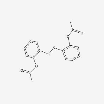 CC(=O)Oc1ccccc1SSc1ccccc1OC(C)=O